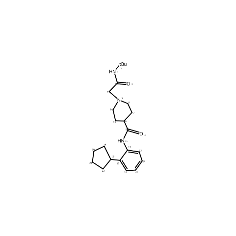 CC(C)(C)NC(=O)CN1CCC(C(=O)Nc2ccccc2C2CCCC2)CC1